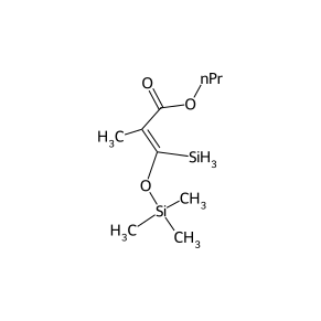 CCCOC(=O)C(C)=C([SiH3])O[Si](C)(C)C